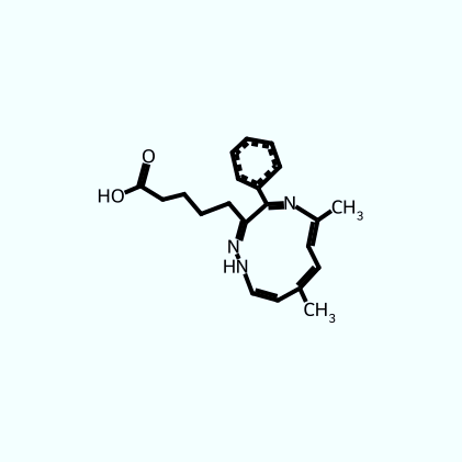 CC1=C/C=C(C)/N=C(/c2ccccc2)C(CCCCC(=O)O)=NN/C=C\1